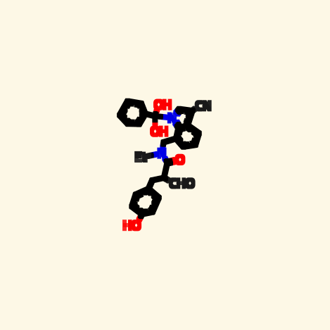 CCN(Cc1cccc2c(C#N)cn(C(O)(O)c3ccccc3)c12)C(=O)C(C=O)Cc1ccc(O)cc1